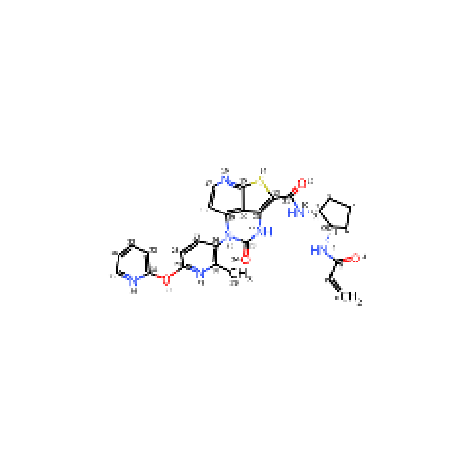 C=CC(=O)N[C@H]1CCC[C@H]1NC(=O)c1sc2nccc3c2c1NC(=O)N3c1ccc(Oc2ccccn2)nc1C